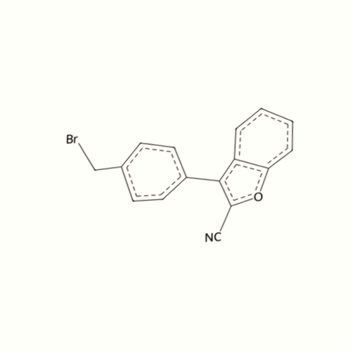 N#Cc1oc2ccccc2c1-c1ccc(CBr)cc1